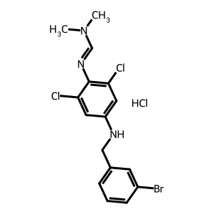 CN(C)C=Nc1c(Cl)cc(NCc2cccc(Br)c2)cc1Cl.Cl